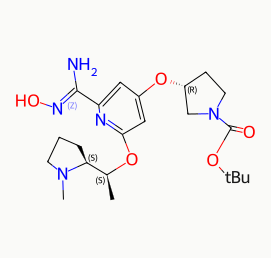 C[C@H](Oc1cc(O[C@@H]2CCN(C(=O)OC(C)(C)C)C2)cc(/C(N)=N/O)n1)[C@@H]1CCCN1C